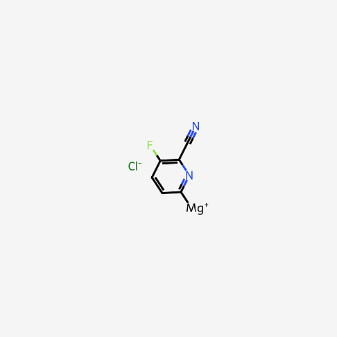 N#Cc1n[c]([Mg+])ccc1F.[Cl-]